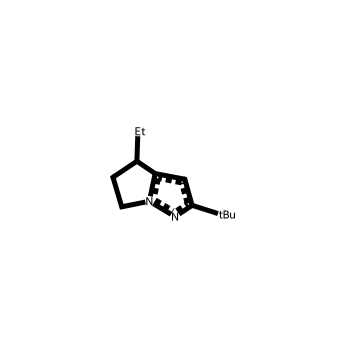 CCC1CCn2nc(C(C)(C)C)cc21